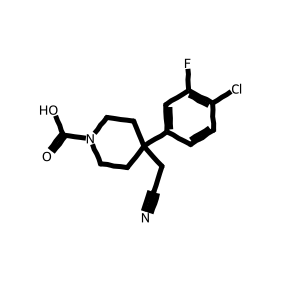 N#CCC1(c2ccc(Cl)c(F)c2)CCN(C(=O)O)CC1